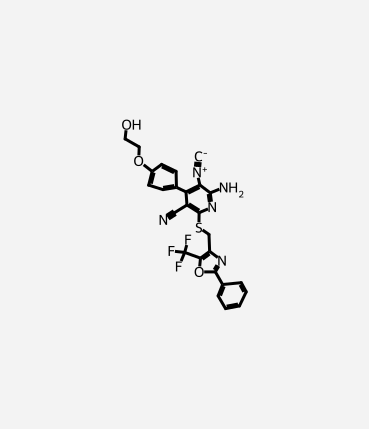 [C-]#[N+]c1c(N)nc(SCc2nc(-c3ccccc3)oc2C(F)(F)F)c(C#N)c1-c1ccc(OCCO)cc1